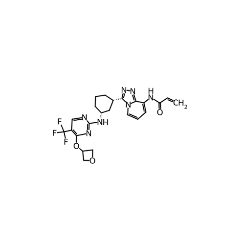 C=CC(=O)Nc1cccn2c([C@H]3CCC[C@@H](Nc4ncc(C(F)(F)F)c(OC5COC5)n4)C3)nnc12